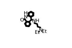 CCN(CC)CCCCNC1c2ccccc2NC(=O)c2ccccc21